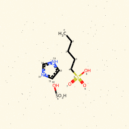 CCCCCS(=O)(=O)O.O=S(=O)(O)O.c1c[nH]cn1